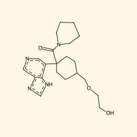 O=C(N1CCCCC1)C1(c2cncc3nc[nH]c23)CCC(COCCO)CC1